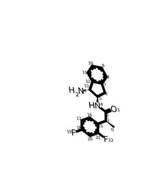 C[C@H](C(=O)N[C@@H]1Cc2ccccc2[C@H]1N)c1ccc(F)cc1F